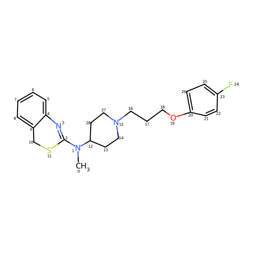 CN(C1=Nc2ccccc2CS1)C1CCN(CCCOc2ccc(F)cc2)CC1